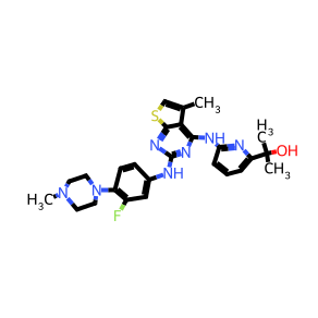 Cc1csc2nc(Nc3ccc(N4CCN(C)CC4)c(F)c3)nc(Nc3cccc(C(C)(C)O)n3)c12